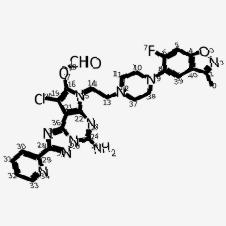 Cc1noc2cc(F)c(N3CCN(CCn4c(OC=O)c(Cl)c5c4nc(N)n4nc(-c6ccccn6)nc54)CC3)cc12